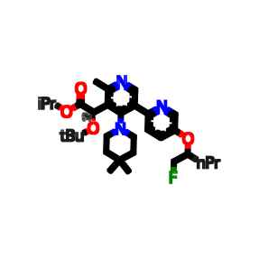 CCCC(CF)Oc1ccc(-c2cnc(C)c([C@H](OC(C)(C)C)C(=O)OC(C)C)c2N2CCC(C)(C)CC2)nc1